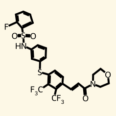 O=C(/C=C/c1ccc(Sc2cccc(NS(=O)(=O)c3ccccc3F)c2)c(C(F)(F)F)c1C(F)(F)F)N1CCOCC1